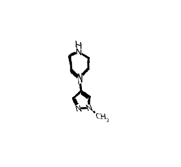 Cn1cc(N2CCNCC2)cn1